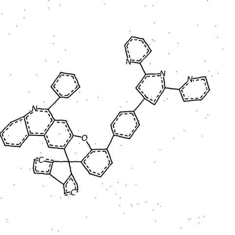 c1ccc(-c2nc3ccccc3c3cc4c(cc23)Oc2c(-c3ccc(-c5cc(-c6ccccn6)nc(-c6ccccn6)c5)cc3)cccc2C42c3ccccc3-c3ccccc32)cc1